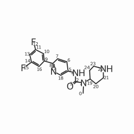 CN(C(=O)Nc1ccc(-c2cc(F)cc(F)c2)nc1)C1CCNCC1